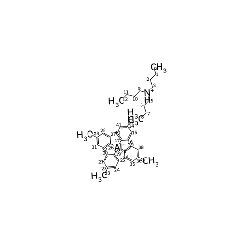 CCCC[NH+](CCCC)CCCC.Cc1cc[c]([Al-]([c]2ccc(C)cc2)([c]2ccc(C)cc2)[c]2ccc(C)cc2)cc1